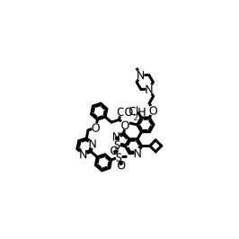 Cc1c(-c2c(C3CCC3)ncc3snc(OC(Cc4ccccc4OCc4ccnc(-c5cccc(S(C)(=O)=O)c5)n4)C(=O)O)c23)ccc(OCCN2CCN(C)CC2)c1Cl